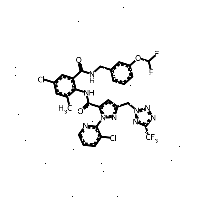 Cc1cc(Cl)cc(C(=O)NCc2cccc(OC(F)F)c2)c1NC(=O)c1cc(Cn2nnc(C(F)(F)F)n2)nn1-c1ncccc1Cl